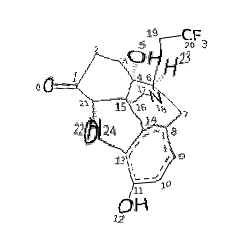 O=C1CC[C@@]2(O)[C@H]3Cc4ccc(O)c5c4[C@@]2(CCN3CC(F)(F)F)[C@H]1O5